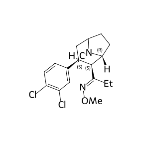 CCC(=NOC)[C@H]1[C@@H](c2ccc(Cl)c(Cl)c2)CC2CC[C@H]1N2C